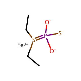 CCS(CC)=P([O-])([O-])[S-].[Fe+3]